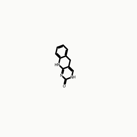 O=c1nc2c(c[nH]1)Cc1ccccc1N2